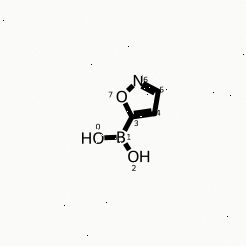 OB(O)c1ccno1